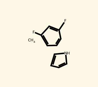 C.Fc1cccc(F)c1.c1cc[nH]c1